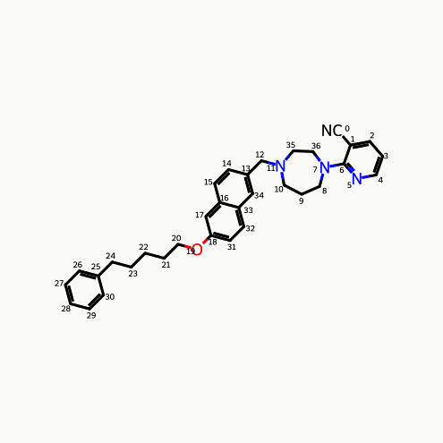 N#Cc1cccnc1N1CCCN(Cc2ccc3cc(OCCCCCc4ccccc4)ccc3c2)CC1